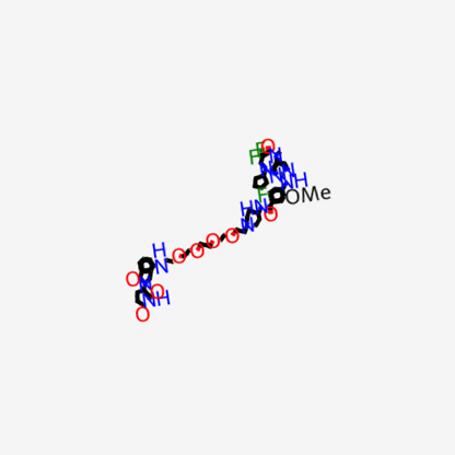 COc1cc(C(=O)NC2CCN(CCOCCOCCOCCOCCNc3cccc4c3CN(C3CCC(=O)NC3=O)C4=O)CC2)c(F)cc1Nc1ncc2c(n1)N(C1CCCC1)CC(F)(F)C(=O)N2C